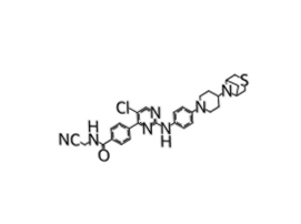 N#CCNC(=O)c1ccc(-c2nc(Nc3ccc(N4CCC(N5C6CSCC5C6)CC4)cc3)ncc2Cl)cc1